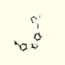 COc1cc(N2CC=C(Oc3ccc(C4CC4)cc3)C2=O)ccc1OCCN1CCC[C@@H]1CO